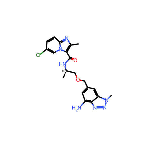 Cc1nc2ccc(Cl)cn2c1C(=O)N[C@H](C)COCc1cc(N)c2nnn(C)c2c1